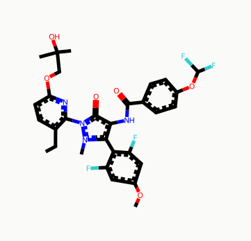 CCc1ccc(OCC(C)(C)O)nc1-n1c(=O)c(NC(=O)c2ccc(OC(F)F)cc2)c(-c2c(F)cc(OC)cc2F)n1C